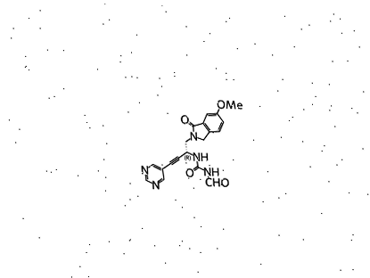 COc1ccc2c(c1)C(=O)N(C[C@@H](C#Cc1cncnc1)NC(=O)NC=O)C2